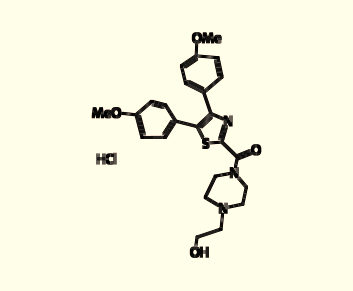 COc1ccc(-c2nc(C(=O)N3CCN(CCO)CC3)sc2-c2ccc(OC)cc2)cc1.Cl